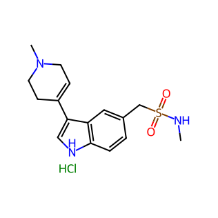 CNS(=O)(=O)Cc1ccc2[nH]cc(C3=CCN(C)CC3)c2c1.Cl